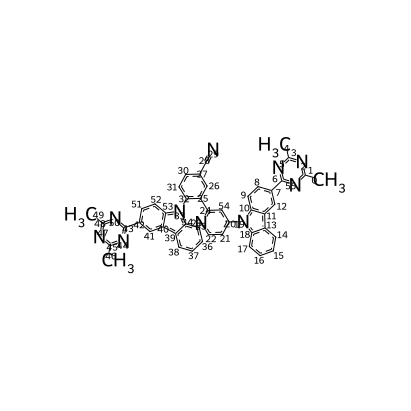 Cc1nc(C)nc(-c2ccc3c(c2)c2ccccc2n3-c2ccnc(-c3cc(C#N)ccc3-n3c4ccccc4c4cc(-c5nc(C)nc(C)n5)ccc43)c2)n1